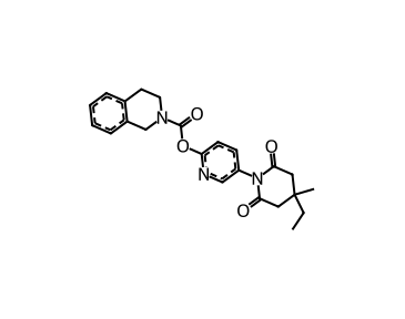 CCC1(C)CC(=O)N(c2ccc(OC(=O)N3CCc4ccccc4C3)nc2)C(=O)C1